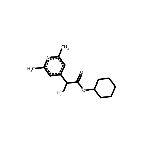 Cc1cc(C(C)C(=O)OC2CCCCC2)cc(C)n1